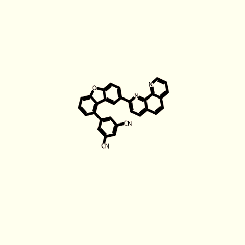 N#Cc1cc(C#N)cc(-c2cccc3oc4ccc(-c5ccc6ccc7cccnc7c6n5)cc4c23)c1